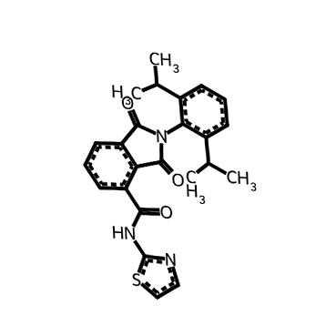 CC(C)c1cccc(C(C)C)c1N1C(=O)c2cccc(C(=O)Nc3nccs3)c2C1=O